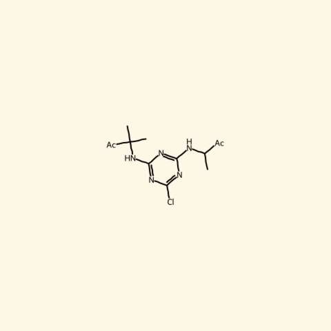 CC(=O)C(C)Nc1nc(Cl)nc(NC(C)(C)C(C)=O)n1